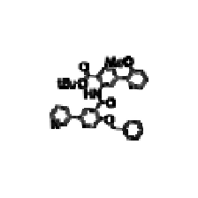 COc1ccccc1-c1ccc(C(=O)OC(C)(C)C)c(NC(=O)c2cc(-c3cccnc3)ccc2OCc2ccccc2)c1